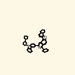 c1ccc(-c2cccc(-n3c4ccccc4c4cc(-c5cc6c(ccc7oc8c9ccccc9ccc8c76)c(-c6ccccc6)n5)ccc43)c2)cc1